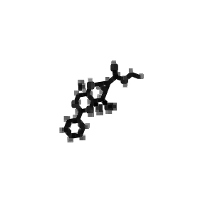 CCOC(=O)C1C2O[C@@H]3COC(c4ccccc4)O[C@H]3[C@H](O)C21